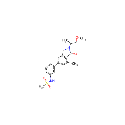 COCC(C)N1Cc2cc(-c3cccc(NS(C)(=O)=O)c3)cc(C)c2C1=O